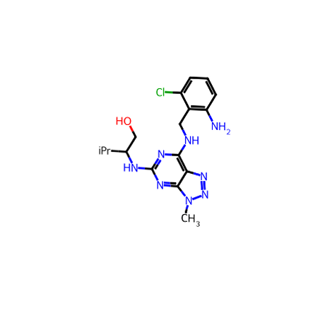 CC(C)C(CO)Nc1nc(NCc2c(N)cccc2Cl)c2nnn(C)c2n1